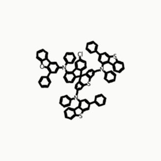 Clc1ccc2c(c1)-c1c(N(c3ccccc3)c3cc(-c4ccccc4)c4oc5ccccc5c4c3)cccc1C21c2ccc(N(c3ccccc3)c3cc(-c4ccccc4)cc4sc5ccccc5c34)cc2Sc2cc(N(c3ccccc3)c3cc(-c4ccccc4)cc4sc5ccccc5c34)ccc21